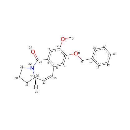 COc1cc2c(cc1OCc1ccccc1)C=C[C@@H]1CCCN1C2=O